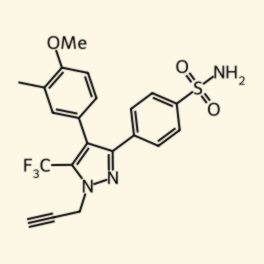 C#CCn1nc(-c2ccc(S(N)(=O)=O)cc2)c(-c2ccc(OC)c(C)c2)c1C(F)(F)F